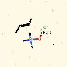 CC=CC.CCCCCO[N+](C)(C)C.[Cl-]